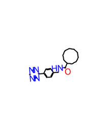 O=C(NCc1ccc(-c2nncnn2)cc1)C1CCCCCCCCC1